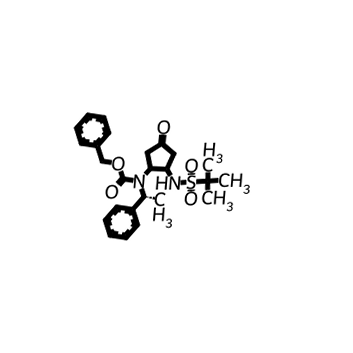 C[C@H](c1ccccc1)N(C(=O)OCc1ccccc1)C1CC(=O)CC1NS(=O)(=O)C(C)(C)C